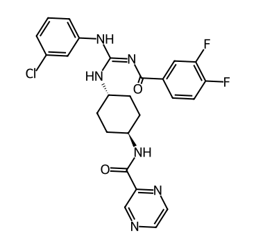 O=C(/N=C(/Nc1cccc(Cl)c1)N[C@H]1CC[C@H](NC(=O)c2cnccn2)CC1)c1ccc(F)c(F)c1